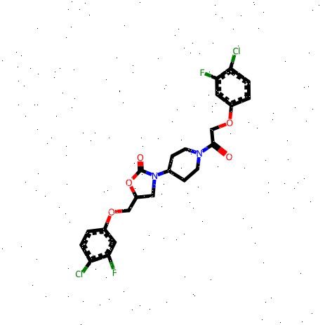 O=C(COc1ccc(Cl)c(F)c1)N1CCC(N2CC(COc3ccc(Cl)c(F)c3)OC2=O)CC1